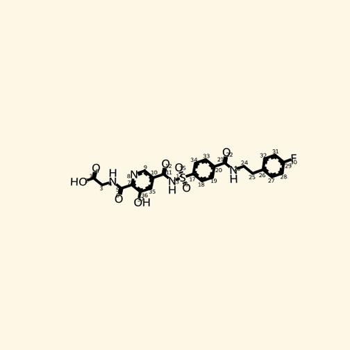 O=C(O)CNC(=O)c1ncc(C(=O)NS(=O)(=O)c2ccc(C(=O)NCCc3ccc(F)cc3)cc2)cc1O